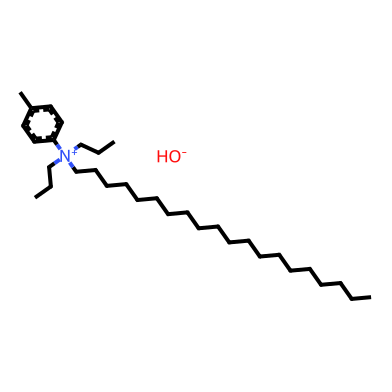 CCCCCCCCCCCCCCCCCCCC[N+](CCC)(CCC)c1ccc(C)cc1.[OH-]